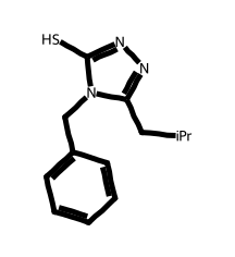 CC(C)Cc1nnc(S)n1Cc1ccccc1